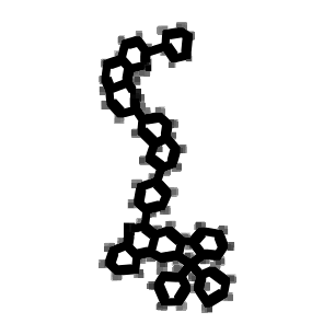 c1ccc(-c2ccc3ccc4ccc(-c5ccc6ccc(-c7ccc(-c8nc9ccccc9c9cc%10c(cc89)-c8ccccc8C%10(c8ccccc8)c8ccccc8)cc7)cc6c5)nc4c3n2)cc1